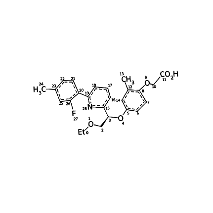 CCOC[C@H](Oc1ccc(OCC(=O)O)c(C)c1)c1cccc(-c2ccc(C)cc2F)n1